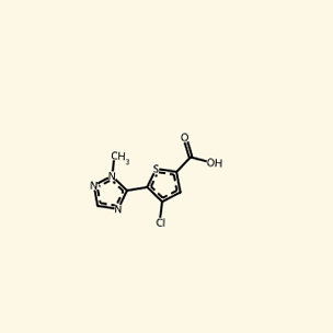 Cn1ncnc1-c1sc(C(=O)O)cc1Cl